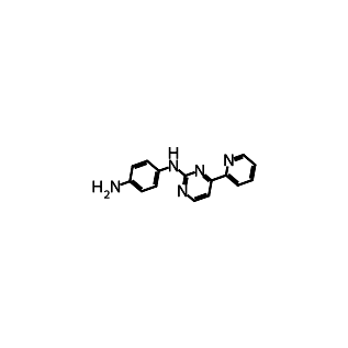 Nc1ccc(Nc2nccc(-c3ccccn3)n2)cc1